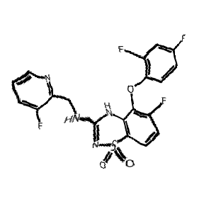 O=S1(=O)N=C(NCc2ncccc2F)Nc2c1ccc(F)c2Oc1ccc(F)cc1F